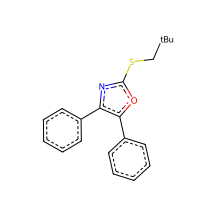 CC(C)(C)CSc1nc(-c2ccccc2)c(-c2ccccc2)o1